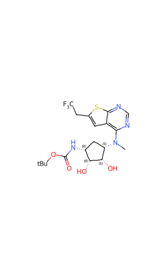 CN(c1ncnc2sc(CC(F)(F)F)cc12)[C@H]1C[C@@H](NC(=O)OC(C)(C)C)[C@@H](O)[C@H]1O